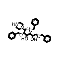 O=C([C@H](OCc1ccccc1)[C@@H](O)[C@H](OCc1ccccc1)[C@H](O)COCc1ccccc1)N1CCNCC1